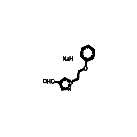 O=Cc1cnn(CCOc2ccccc2)c1.[NaH]